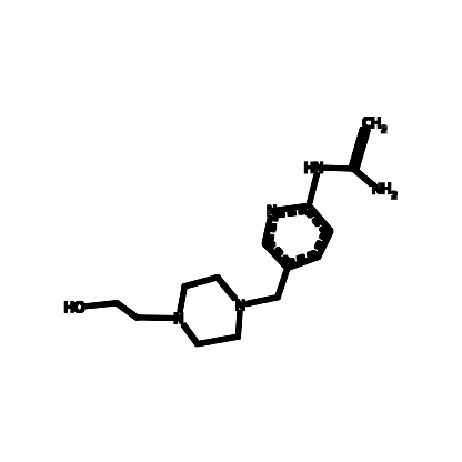 C=C(N)Nc1ccc(CN2CCN(CCO)CC2)cn1